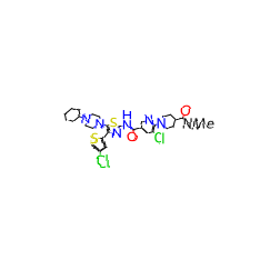 CNC(=O)C1CCN(c2ncc(C(=O)Nc3nc(-c4cc(Cl)cs4)c(N4CCN(C5CCCCC5)CC4)s3)cc2Cl)CC1